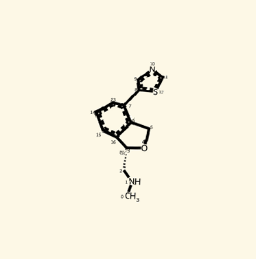 CNC[C@H]1OCc2c(-c3cncs3)cccc21